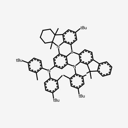 Cc1cc(C(C)(C)C)ccc1N(c1cc2c3c(c1)N1c4c(cc(C(C)(C)C)cc4C4(C)CCCCC14C)B3c1ccc3c(c1N2c1c(C)cc(C(C)(C)C)cc1C)C(C)(C)c1ccccc1-3)c1ccc(C(C)(C)C)cc1C